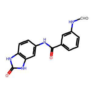 O=CNc1cccc(C(=O)Nc2ccc3[nH]c(=O)[nH]c3c2)c1